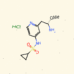 CO[C@H](N)Cc1cc(NS(=O)(=O)C2CC2)ccn1.Cl